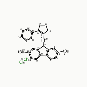 CC(C)(C)c1ccc2c(c1)[CH]([Hf+2][C]1=C(c3ccccc3)C=CC1)c1cc(C(C)(C)C)ccc1-2.[Cl-].[Cl-]